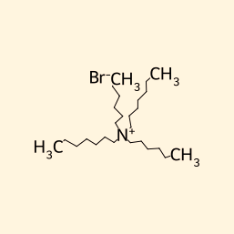 CCCCCCC[N+](CCCCCC)(CCCCCC)CCCCCCC.[Br-]